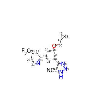 N#Cc1[nH]nnc1-c1cc(OCC2CC2)cc(-c2cc(C(F)(F)F)ccn2)c1